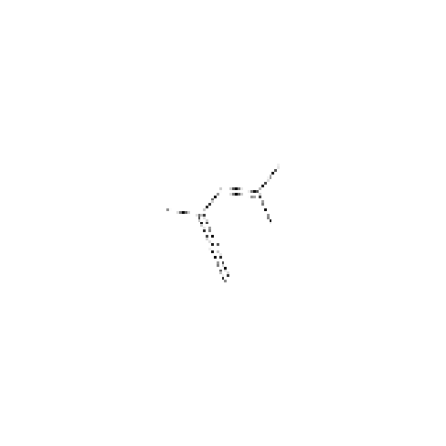 C=C=C(C)C=C(C)C